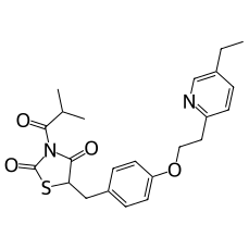 CCc1ccc(CCOc2ccc(CC3SC(=O)N(C(=O)C(C)C)C3=O)cc2)nc1